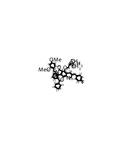 COc1ccc(CN2C(=O)c3c(c(OC(c4ccccc4)c4ccccc4)c4ncc(Cc5ccc(F)cc5)cc4c3OCC[Si](C)(C)C)C2=O)c(OC)c1